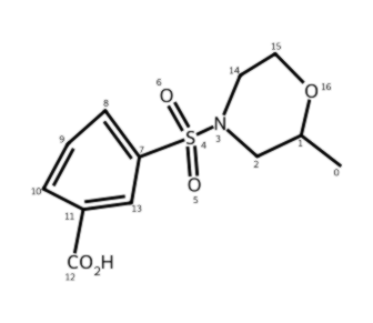 CC1CN(S(=O)(=O)c2cccc(C(=O)O)c2)CCO1